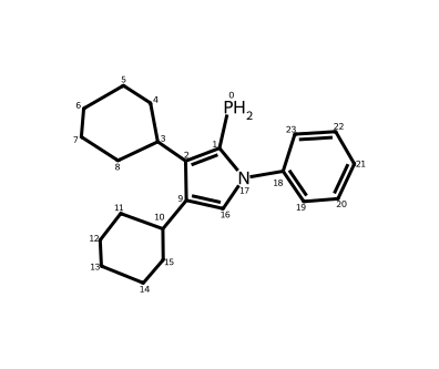 Pc1c(C2CCCCC2)c(C2CCCCC2)cn1-c1ccccc1